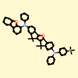 CC1(C)c2cc(N(c3ccccc3)c3ccc([Si](C)(C)C)cc3)ccc2-c2oc3c(c21)C(C)(C)c1cc(N(c2ccccc2)c2cccc4c2oc2ccccc24)ccc1-3